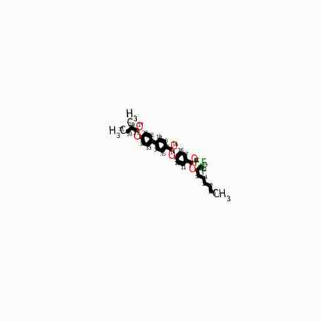 CCCCCCC(OC(=O)c1ccc(OC(=O)c2ccc(-c3ccc(OC(=O)C(C)CC)cc3)cc2)cc1)C(F)(F)F